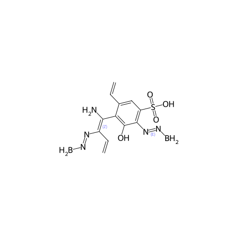 BN=N/C(C=C)=C(\N)c1c(C=C)cc(S(=O)(=O)O)c(/N=N/B)c1O